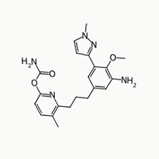 COc1c(N)cc(CCCc2nc(OC(N)=O)ccc2C)cc1-c1ccn(C)n1